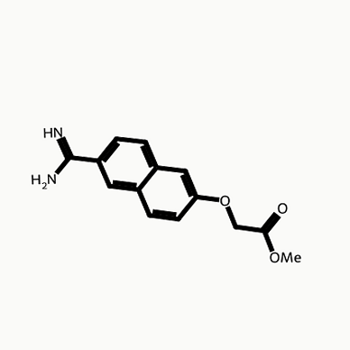 COC(=O)COc1ccc2cc(C(=N)N)ccc2c1